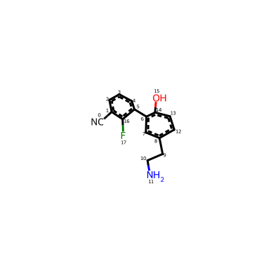 N#Cc1cccc(-c2cc(CCN)ccc2O)c1F